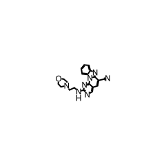 N#Cc1cc2cnc(NCCN3CCOCC3)nc2n2c1nc1ccccc12